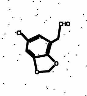 O=CCc1cc(Cl)cc2c1OCO2